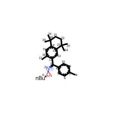 CCCCO/N=C(\c1ccc(C)cc1)c1cc2c(cc1C)C(C)(C)CCC2(C)C